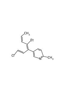 C\C=C/C(CC)=C(\C=C\Cl)c1ccc(C)nc1